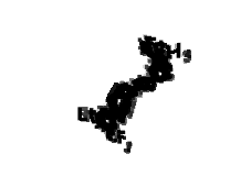 CC/C=C\c1c(C)sc2ccc(-c3ccc(-c4cnc5cc(-c6cc(CC)cc(C(F)(F)F)c6)ccc5c4)cn3)cc12